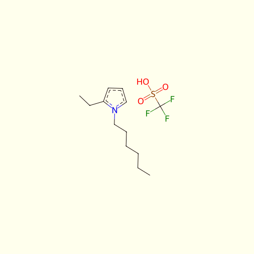 CCCCCCn1cccc1CC.O=S(=O)(O)C(F)(F)F